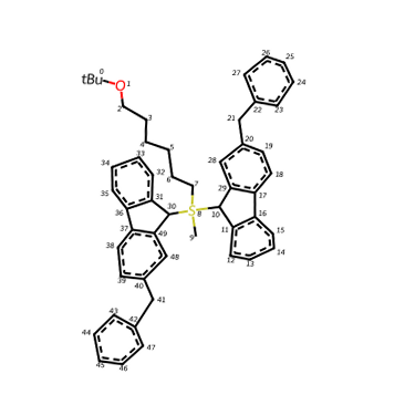 CC(C)(C)OCCCCCCS(C)(C1c2ccccc2-c2ccc(Cc3ccccc3)cc21)C1c2ccccc2-c2ccc(Cc3ccccc3)cc21